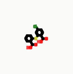 O=C(O)c1ccccc1Sc1cc(Cl)ccc1C(=O)O